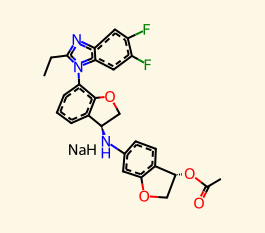 CCc1nc2cc(F)c(F)cc2n1-c1cccc2c1OC[C@H]2Nc1ccc2c(c1)OC[C@H]2OC(C)=O.[NaH]